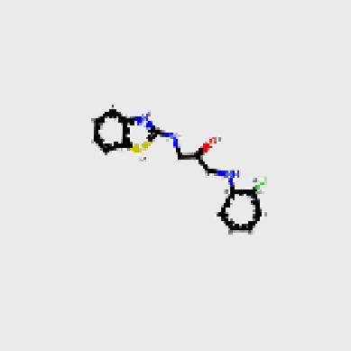 O=C(CNc1nc2ccccc2s1)CNc1ccccc1Cl